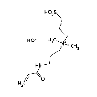 C=CC(=O)NCCC[N+](C)(C)CCCS(=O)(=O)O.[OH-]